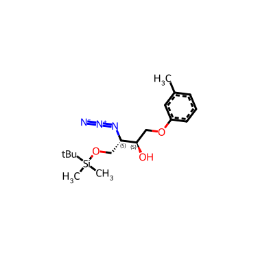 Cc1cccc(OC[C@@H](O)[C@H](CO[Si](C)(C)C(C)(C)C)N=[N+]=[N-])c1